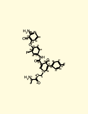 CC(N)C(=O)OCn1cc(C(=O)Nc2ccc(Oc3ccnc(N)c3Cl)c(F)c2)c(=O)c(-c2ccc(F)cc2)c1